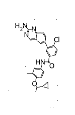 Cc1cc(NC(=O)c2ccc(Cl)c(-c3ccc4nc(N)ncc4c3)c2)ccc1OC(C)C1CC1